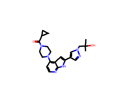 CC(C)(O)Cn1cc(-c2cc3c(N4CCN(C(=O)C5CC5)CC4)ccnc3[nH]2)cn1